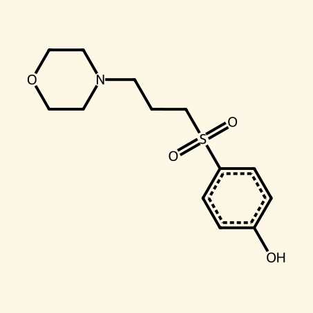 O=S(=O)(CCCN1CCOCC1)c1ccc(O)cc1